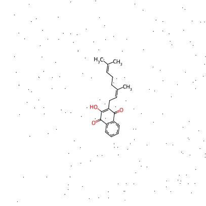 CC(C)=CCCC(C)=CCC1=C(O)C(=O)c2ccccc2C1=O